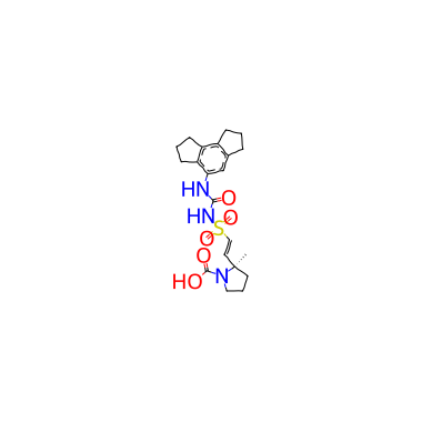 C[C@]1(/C=C/S(=O)(=O)NC(=O)Nc2cc3c(c4c2CCC4)CCC3)CCCN1C(=O)O